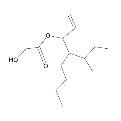 C=CC(OC(=O)CO)C(CCCC)C(C)CC